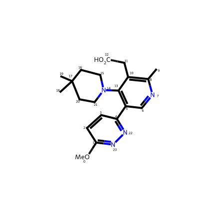 COc1ccc(-c2cnc(C)c(CC(=O)O)c2N2CCC(C)(C)CC2)nn1